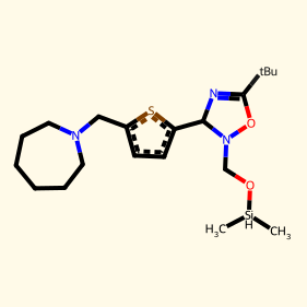 C[SiH](C)OCN1OC(C(C)(C)C)=NC1c1ccc(CN2CCCCCC2)s1